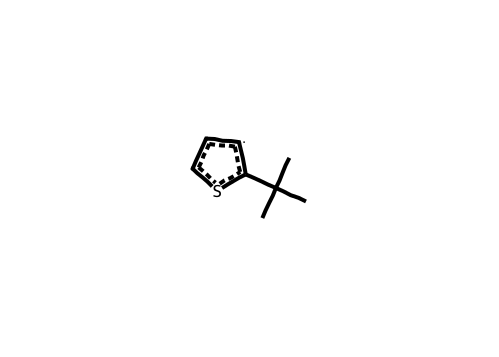 CC(C)(C)c1[c]ccs1